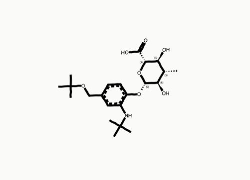 C[C@@H]1[C@@H](O)[C@H](Oc2ccc(COC(C)(C)C)cc2NC(C)(C)C)O[C@H](C(=O)O)[C@H]1O